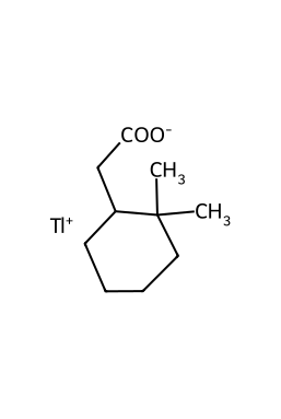 CC1(C)CCCCC1CC(=O)[O-].[Tl+]